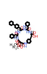 CC(=O)O[C@H]1C(=O)Nc2ccc(cc2)C[C@H](C(=O)O)NC(=O)[C@@H](Cc2ccccc2)NC(=O)[C@H](Cc2ccc(-c3ccccc3)cc2)NC(=O)[C@@H](Cc2ccccc2)NC(=O)[C@@H]1OC(C)=O